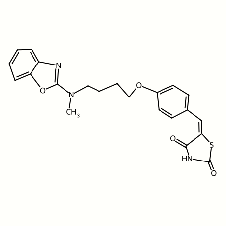 CN(CCCCOc1ccc(C=C2SC(=O)NC2=O)cc1)c1nc2ccccc2o1